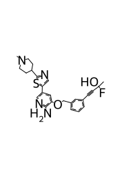 CN1CCC(c2ncc(-c3cnc(N)c(OCc4cccc(C#CC(C)(O)F)c4)c3)s2)CC1